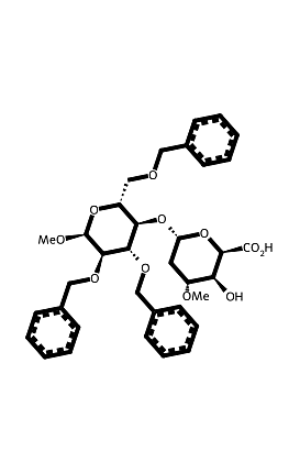 CO[C@H]1O[C@H](COCc2ccccc2)[C@@H](O[C@H]2C[C@@H](OC)[C@H](O)[C@H](C(=O)O)O2)[C@H](OCc2ccccc2)[C@H]1OCc1ccccc1